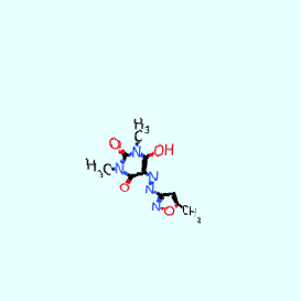 Cc1cc(N=Nc2c(O)n(C)c(=O)n(C)c2=O)no1